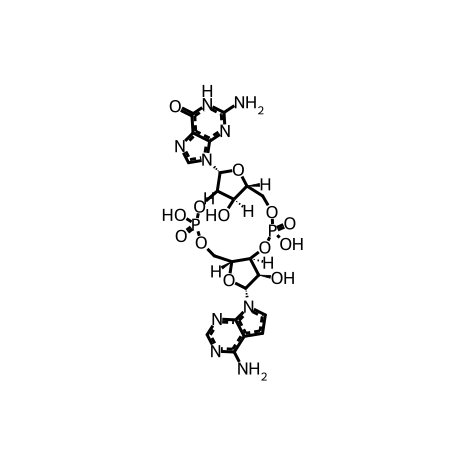 Nc1nc2c(ncn2[C@@H]2O[C@@H]3COP(=O)(O)O[C@H]4[C@@H](O)[C@H](n5ccc6c(N)ncnc65)O[C@@H]4COP(=O)(O)O[C@@H]2[C@@H]3O)c(=O)[nH]1